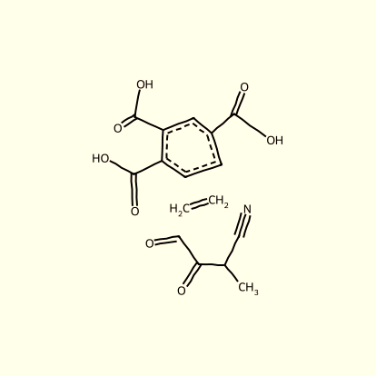 C=C.CC(C#N)C(=O)C=O.O=C(O)c1ccc(C(=O)O)c(C(=O)O)c1